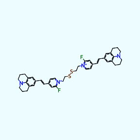 Fc1cc(/C=C/c2cc3c4c(c2)CCCN4CCC3)cc[n+]1CCSSCC[n+]1ccc(/C=C/c2cc3c4c(c2)CCCN4CCC3)cc1F